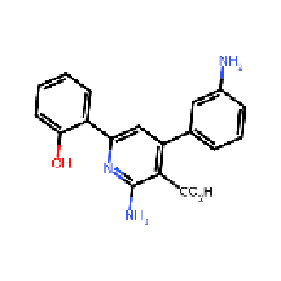 Nc1cccc(-c2cc(-c3ccccc3O)nc(N)c2C(=O)O)c1